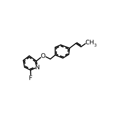 C/C=C/c1ccc(COc2cccc(F)n2)cc1